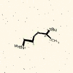 CNCCCC(C)C(C)(C)C